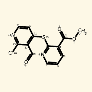 COC(=O)c1cccnc1Sc1ccnc(Cl)c1C=O